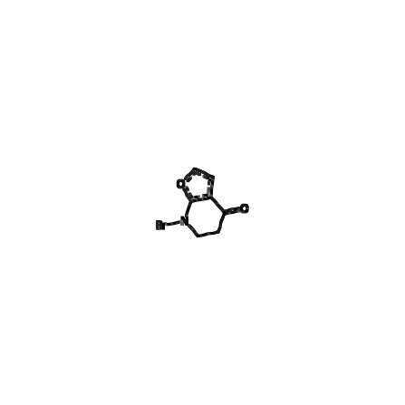 O=C1CCN(Br)c2occc21